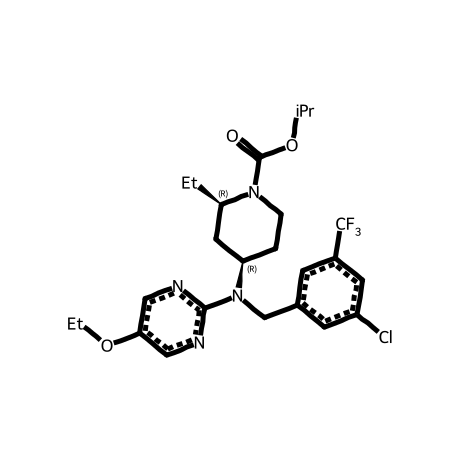 CCOc1cnc(N(Cc2cc(Cl)cc(C(F)(F)F)c2)[C@@H]2CCN(C(=O)OC(C)C)[C@H](CC)C2)nc1